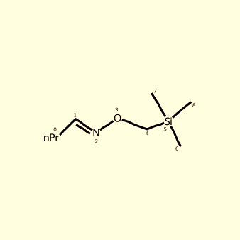 CCCC=NOC[Si](C)(C)C